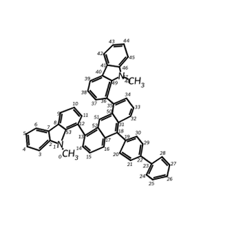 Cn1c2ccccc2c2cccc(-c3cccc4c(-c5ccc(-c6ccccc6)cc5)c5cccc(-c6cccc7c8ccccc8n(C)c67)c5cc34)c21